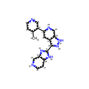 Cc1ccncc1-c1cc2c(-c3nc4cnccc4[nH]3)n[nH]c2cn1